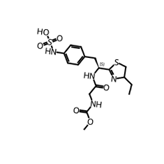 CCC1CSC([C@H](Cc2ccc(NS(=O)(=O)O)cc2)NC(=O)CNC(=O)OC)=N1